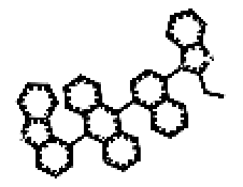 CCc1nc2ccccc2n1-c1ccc(-c2c3ccccc3c(-c3cccc4oc5ccccc5c34)c3ccccc23)c2ccccc12